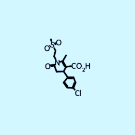 CC1=C(C(=O)O)C(c2ccc(Cl)cc2)CC(=O)N1CCS(C)(=O)=O